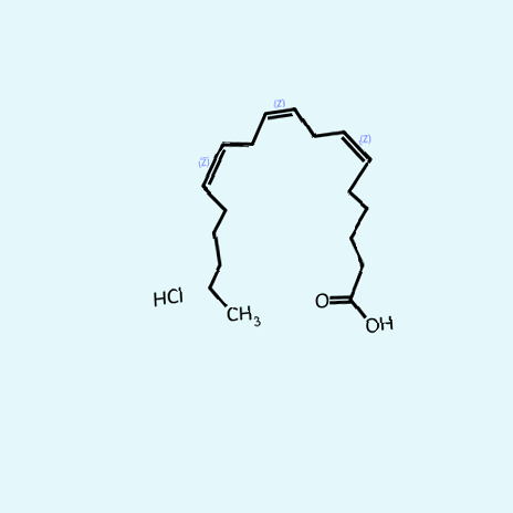 CCCCC/C=C\C/C=C\C/C=C\CCCCC(=O)O.Cl